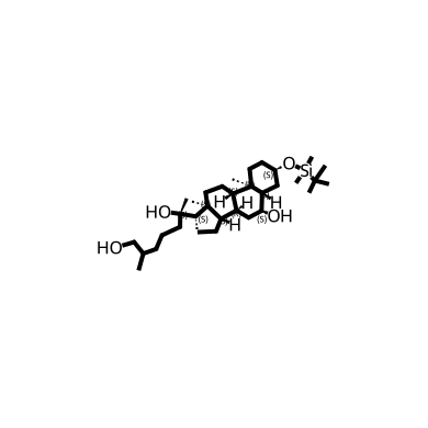 CC(CO)CCC[C@](C)(O)[C@H]1CC[C@H]2[C@@H]3C[C@H](O)[C@H]4C[C@@H](O[Si](C)(C)C(C)(C)C)CC[C@]4(C)[C@H]3CC[C@@]21C